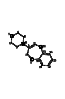 C1=C(N2CCOCC2)COc2ccccc2O1